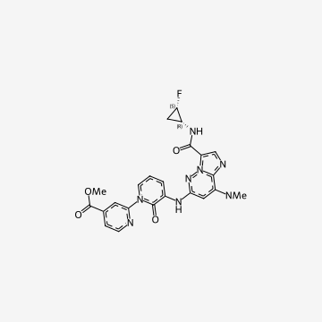 CNc1cc(Nc2cccn(-c3cc(C(=O)OC)ccn3)c2=O)nn2c(C(=O)N[C@@H]3C[C@@H]3F)cnc12